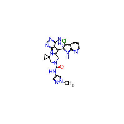 Cn1cc(NC(=O)N2Cc3c(-c4[nH]c5ncccc5c4Cl)c4c(N)ncnc4n3C3(CC3)C2)cn1